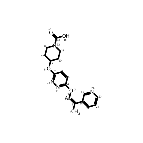 C/C(=[As]/Oc1ccc(OC2CCN(C(=O)O)CC2)nn1)c1cccnc1